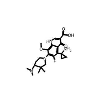 COc1c(N2CCC(N(C)C)C(C)(C)C2)c(F)c(C2(N)CC2)c2c(=O)c(C(=O)O)c[nH]c12